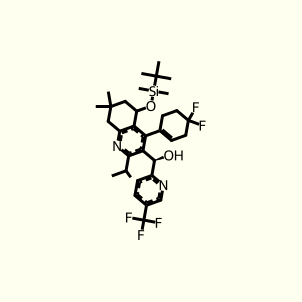 CC(C)c1nc2c(c(C3=CCC(F)(F)CC3)c1[C@@H](O)c1ccc(C(F)(F)F)cn1)C(O[Si](C)(C)C(C)(C)C)CC(C)(C)C2